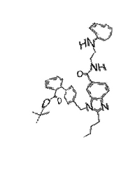 CCCCc1nc2ccc(C(=O)NCCNc3ccccc3)cc2n1Cc1ccc(-c2ccccc2C(=O)OC(C)(C)C)cc1